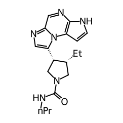 CCCNC(=O)N1C[C@@H](CC)[C@@H](c2cnc3cnc4[nH]ccc4n23)C1